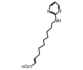 CCCCCCCCC=CCCCCCCCCNc1ncccn1